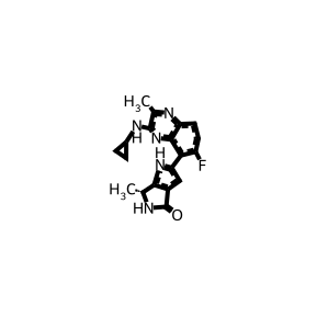 Cc1nc2ccc(F)c(-c3cc4c([nH]3)[C@@H](C)NC4=O)c2nc1NC1CC1